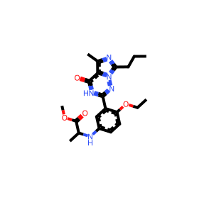 CCCc1nc(C)c2c(=O)[nH]c(-c3cc(NC(C)C(=O)OC)ccc3OCC)nn12